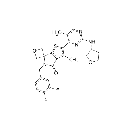 Cc1cnc(N[C@@H]2CCOC2)nc1-c1sc2c(c1C)C(=O)N(Cc1ccc(F)c(F)c1)C21COC1